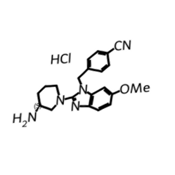 COc1ccc2nc(N3CCC[C@H](N)C3)n(Cc3ccc(C#N)cc3)c2c1.Cl